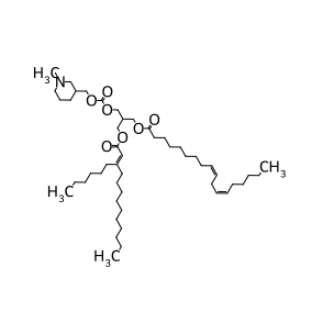 CCCCC/C=C\C/C=C\CCCCCCCC(=O)OCC(COC(=O)/C=C(\CCCCCC)CCCCCCCCCC)COC(=O)OCC1CCCN(C)C1